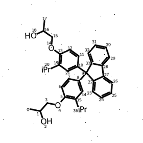 CC(O)COc1ccc(C2(c3ccc(OCC(C)O)c(C(C)C)c3)c3ccccc3-c3ccccc32)cc1C(C)C